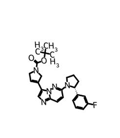 CC(C)(C)OC(=O)N1CC=C(c2cnc3ccc(N4CCC[C@@H]4c4cccc(F)c4)nn23)C1